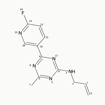 C=CCNc1nc(C)nc(-c2ccc(F)nc2)n1